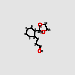 O=CCCC1CCCCC1C1OCCO1